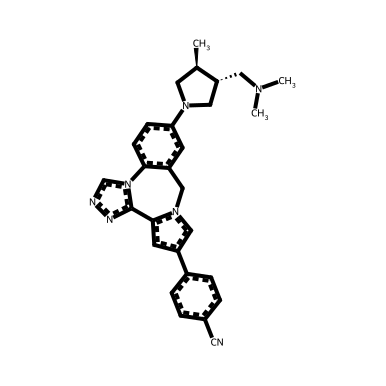 C[C@@H]1CN(c2ccc3c(c2)Cn2cc(-c4ccc(C#N)cc4)cc2-c2nncn2-3)C[C@H]1CN(C)C